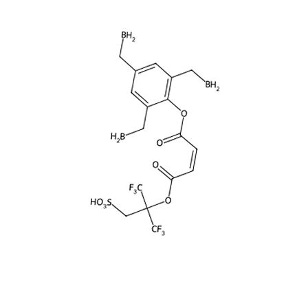 BCc1cc(CB)c(OC(=O)/C=C\C(=O)OC(CS(=O)(=O)O)(C(F)(F)F)C(F)(F)F)c(CB)c1